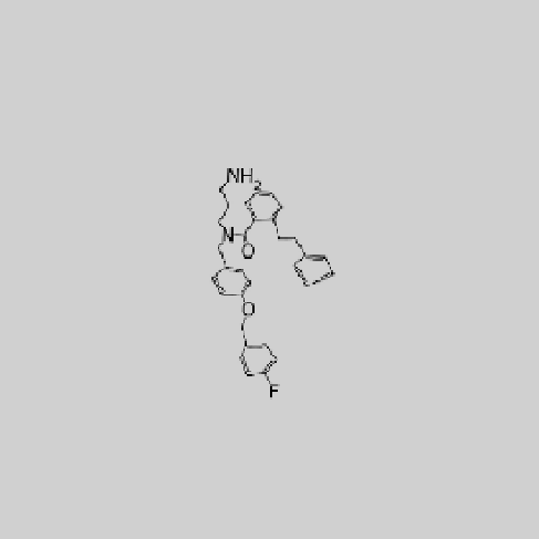 NCCCN(Cc1ccc(OCc2ccc(F)cc2)cc1)C(=O)c1ccccc1CCc1ccccc1